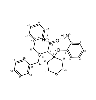 Nc1ccccc1OC1(C(C(=O)O)N(Cc2ccccc2)Cc2ccccc2)CCCCC1